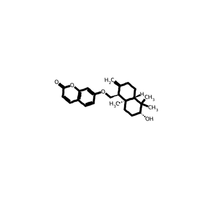 C=C1CC[C@@H]2C(C)(C)[C@H](O)CC[C@@]2(C)[C@H]1COc1ccc2ccc(=O)oc2c1